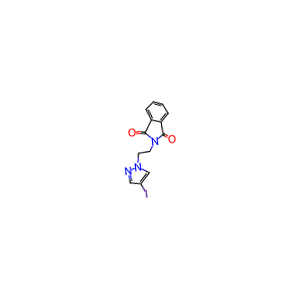 O=C1c2ccccc2C(=O)N1CCn1cc(I)cn1